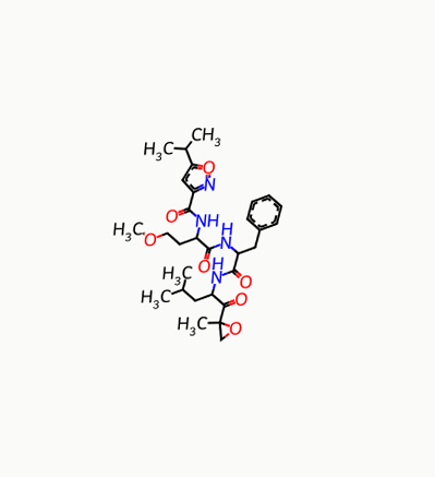 COCCC(NC(=O)c1cc(C(C)C)on1)C(=O)NC(Cc1ccccc1)C(=O)NC(CC(C)C)C(=O)C1(C)CO1